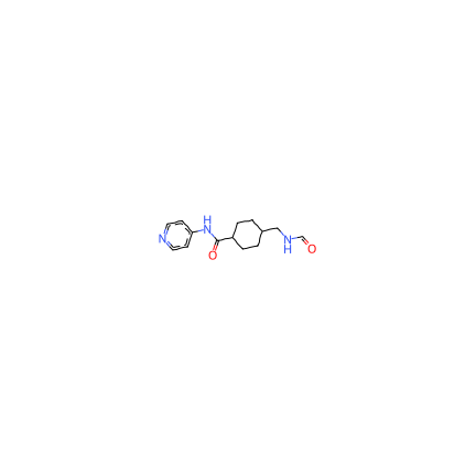 O=CNCC1CCC(C(=O)Nc2ccncc2)CC1